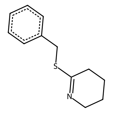 c1ccc(CSC2=NCCCC2)cc1